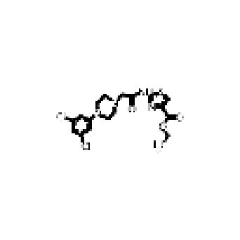 CCOC(=O)c1csc(NC(=O)CN2CCN(c3cc(Cl)cc(Cl)c3)CC2)n1